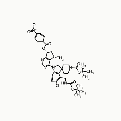 C[C@@H]1C[C@@H](OC(=O)c2ccc([N+](=O)[O-])cc2)c2ncnc(N3CC4(CCN(C(=O)OC(C)(C)C)CC4)c4c3ccc(Cl)c4CNC(=O)OC(C)(C)C)c21